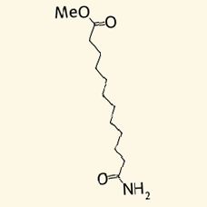 COC(=O)CCCCCCCCCCC(N)=O